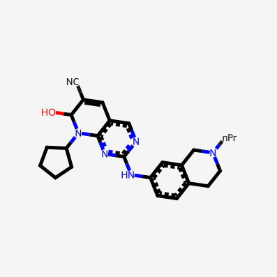 CCCN1CCc2ccc(Nc3ncc4c(n3)N(C3CCCC3)C(O)C(C#N)=C4)cc2C1